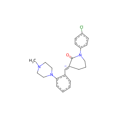 CN1CCN(c2ccccc2/C=C2\CCCN(c3ccc(Cl)cc3)C2=O)CC1